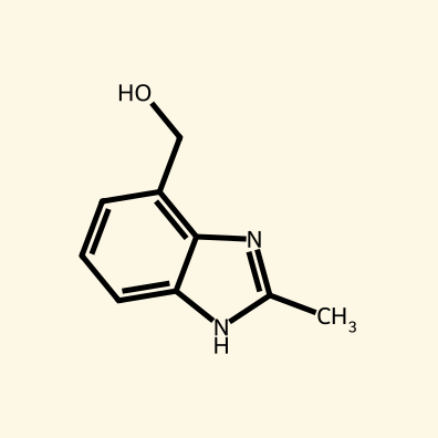 Cc1nc2c(CO)cccc2[nH]1